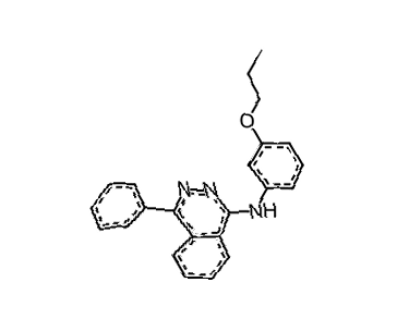 CCCOc1cccc(Nc2nnc(-c3ccccc3)c3ccccc23)c1